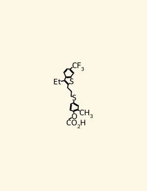 CCc1c(CCCSc2ccc(OCC(=O)O)c(C)c2)sc2cc(C(F)(F)F)ccc12